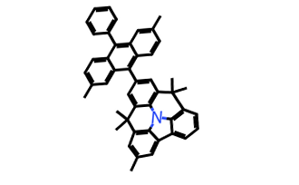 Cc1ccc2c(-c3cc4c5c(c3)C(C)(C)c3cc(C)cc6c7cccc(c7n-5c36)C4(C)C)c3cc(C)ccc3c(-c3ccccc3)c2c1